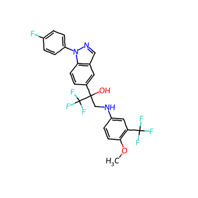 COc1ccc(NCC(O)(c2ccc3c(cnn3-c3ccc(F)cc3)c2)C(F)(F)F)cc1C(F)(F)F